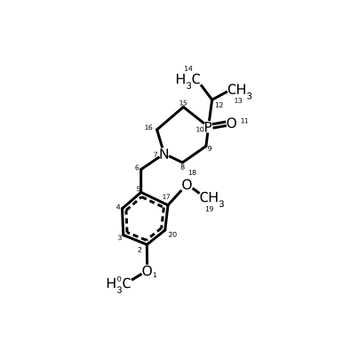 COc1ccc(CN2CCP(=O)(C(C)C)CC2)c(OC)c1